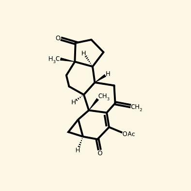 C=C1C[C@H]2[C@@H]3CCC(=O)[C@@]3(C)CC[C@@H]2[C@]2(C)C1=C(OC(C)=O)C(=O)[C@H]1CC12